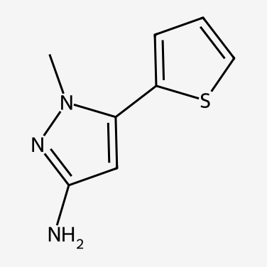 Cn1nc(N)cc1-c1cccs1